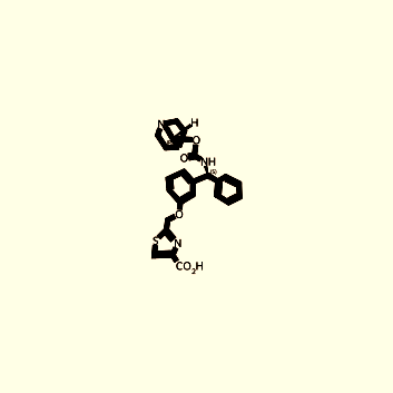 O=C(N[C@@H](c1ccccc1)c1cccc(OCc2nc(C(=O)O)cs2)c1)O[C@H]1CN2CCC1CC2